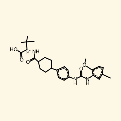 COc1ccc(C)cc1NC(=O)Nc1ccc(C2CCC(C(=O)N[C@H](C(=O)O)C(C)(C)C)CC2)cc1